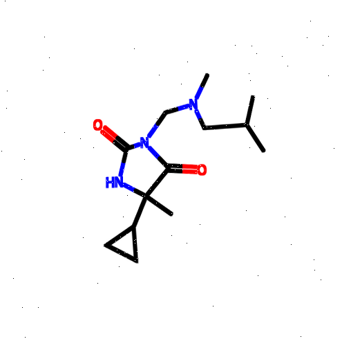 CC(C)CN(C)CN1C(=O)NC(C)(C2CC2)C1=O